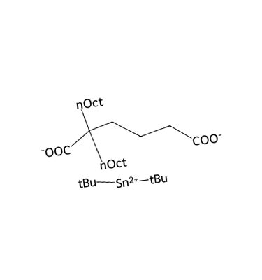 CCCCCCCCC(CCCCCCCC)(CCCC(=O)[O-])C(=O)[O-].C[C](C)(C)[Sn+2][C](C)(C)C